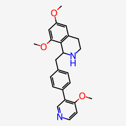 COc1cc2c(c(OC)c1)C(Cc1ccc(-c3cnccc3OC)cc1)NCC2